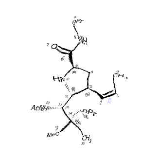 C/C=C\[C@@H]1C[C@H](C(=O)NCCC)N[C@H]1[C@@H](NC(C)=O)[C@](C)(CCC)OC